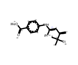 C=C(/C=C(/Nc1ccc(C(=O)OC)cc1)C(C)C)C(C)(C)CC